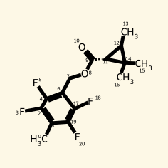 Cc1c(F)c(F)c(COC(=O)[C@@H]2C(C)C2(C)C)c(F)c1F